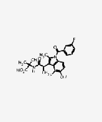 Cc1c(C(C)C(=O)NC(C)(C)C(=O)O)c2c(F)c(O)ccc2n1C(=O)c1cccc(F)c1